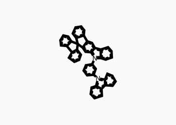 c1cc(-n2c3ccccc3c3ccccc32)cc(-n2c3ccccc3c3cc4c(cc32)C2(c3ccccc3-c3ccccc32)c2ccccc2-4)c1